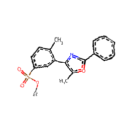 CCOS(=O)(=O)c1ccc(C)c(-c2nc(-c3ccccc3)oc2C)c1